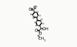 CCOC(=O)C(O)c1ccc(-c2ccc([N+](=O)[O-])cc2)cc1